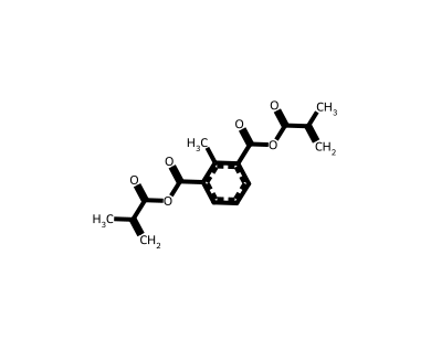 C=C(C)C(=O)OC(=O)c1cccc(C(=O)OC(=O)C(=C)C)c1C